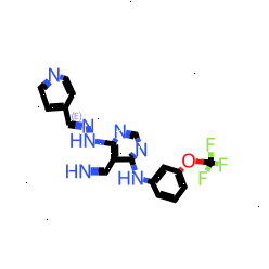 N=Cc1c(N/N=C/c2ccncc2)ncnc1Nc1cccc(OC(F)(F)F)c1